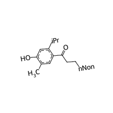 CCCCCCCCCCCC(=O)c1cc(C)c(O)cc1C(C)C